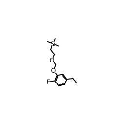 CCc1ccc(F)c(OCOCC[Si](C)(C)C)c1